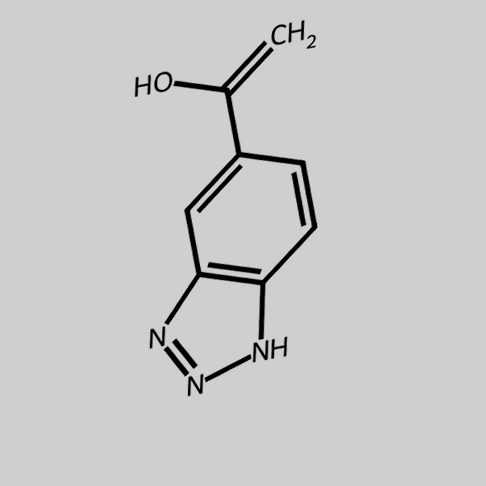 C=C(O)c1ccc2[nH]nnc2c1